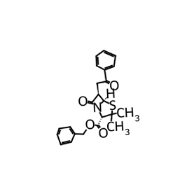 CC1(C)S[C@@H]2[C@H](CC(=O)c3ccccc3)C(=O)N2[C@H]1C(=O)OCc1ccccc1